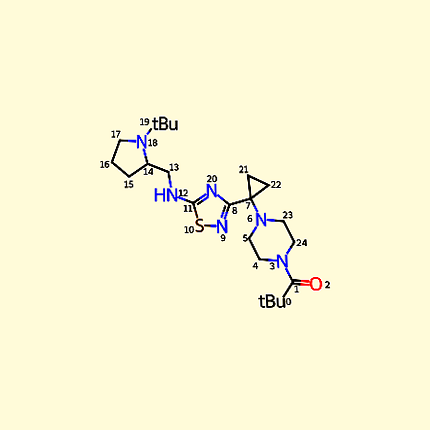 CC(C)(C)C(=O)N1CCN(C2(c3nsc(NCC4CCCN4C(C)(C)C)n3)CC2)CC1